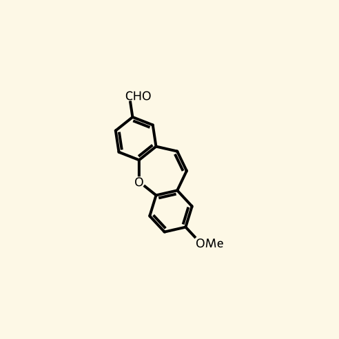 COc1ccc2c(c1)C=Cc1cc(C=O)ccc1O2